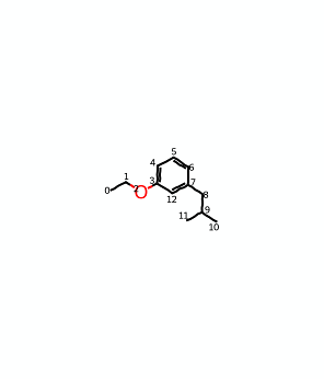 CCOc1cccc(CC(C)C)c1